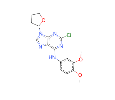 COc1ccc(Nc2nc(Cl)nc3c2ncn3C2CCCO2)cc1OC